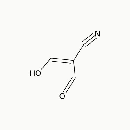 N#CC(C=O)=CO